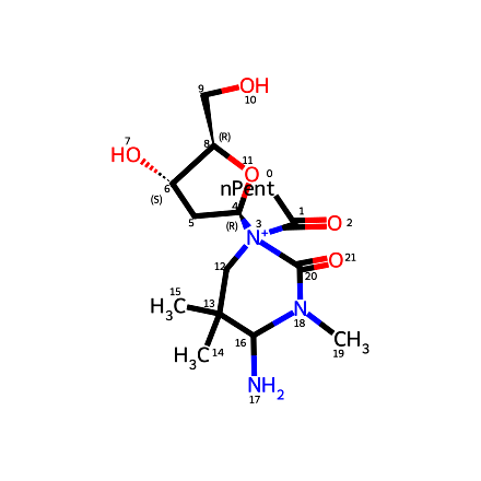 CCCCCC(=O)[N+]1([C@H]2C[C@H](O)[C@@H](CO)O2)CC(C)(C)C(N)N(C)C1=O